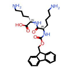 NCCCC[C@H](NC(=O)[C@@H](CCCCN)NC(=O)OCC1c2ccccc2-c2ccccc21)C(=O)O